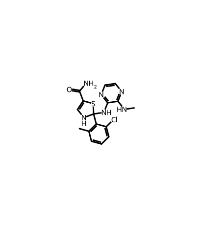 CNc1nccnc1NC1(c2c(C)cccc2Cl)NC=C(C(N)=O)S1